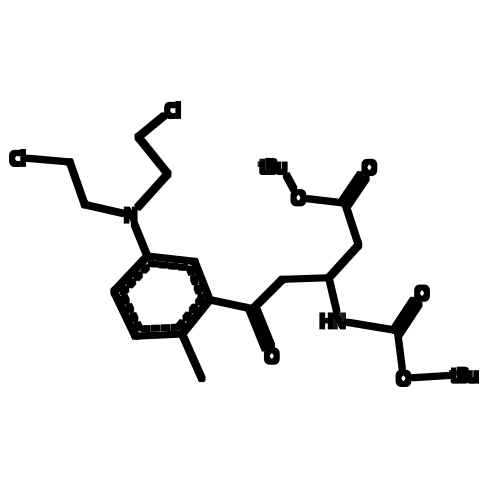 Cc1ccc(N(CCCl)CCCl)cc1C(=O)CC(CC(=O)OC(C)(C)C)NC(=O)OC(C)(C)C